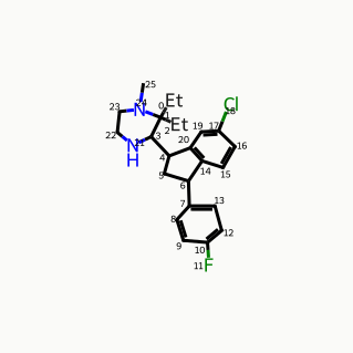 CCC1(CC)C(C2CC(c3ccc(F)cc3)c3ccc(Cl)cc32)NCCN1C